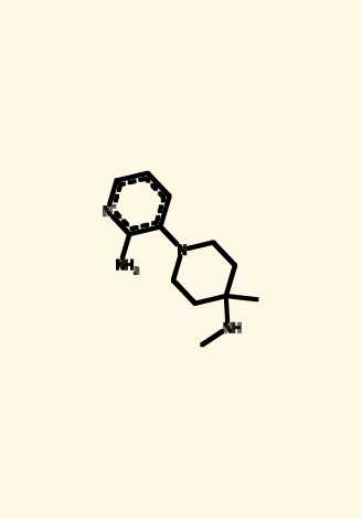 CNC1(C)CCN(c2cccnc2N)CC1